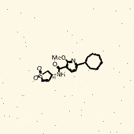 COc1nc(C2CCCCCC2)ccc1C(=O)N[C@@H]1C=CS(=O)(=O)C1